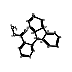 COC(=O)c1ccccc1-n1c2ccccc2c2cnccc21